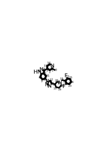 Cc1cc(-c2n[nH]c3ccc(-n4cc(C5CCCN(Cc6c(F)cccc6F)C5)nn4)cc23)ccn1